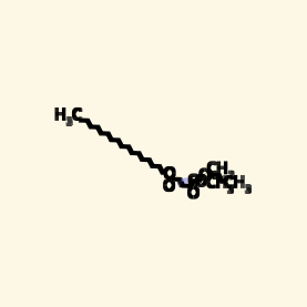 CCCCCCCCCCCCCCCCCCOC(=O)/C=C/C(=O)OOOC(C)(C)CCC